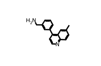 Cc1ccc2nccc(-c3cccc(CN)c3)c2c1